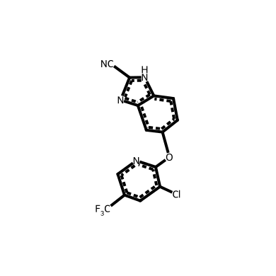 N#Cc1nc2cc(Oc3ncc(C(F)(F)F)cc3Cl)ccc2[nH]1